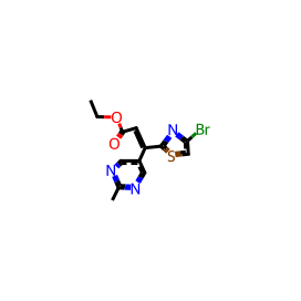 CCOC(=O)/C=C(\c1cnc(C)nc1)c1nc(Br)cs1